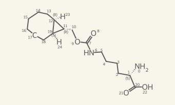 N[C@@H](CCCCNC(=O)OC[C@H]1[C@@H]2CCCCCC[C@@H]21)C(=O)O